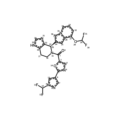 O=C(c1nnc(-c2cnn(C(F)F)c2)o1)N1CCc2[nH]cnc2[C@H]1c1cc2c(OC(F)F)cccn2n1